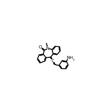 CN1C(=O)c2ccccc2C(=C=Cc2cccc(N)c2)c2ccccc21